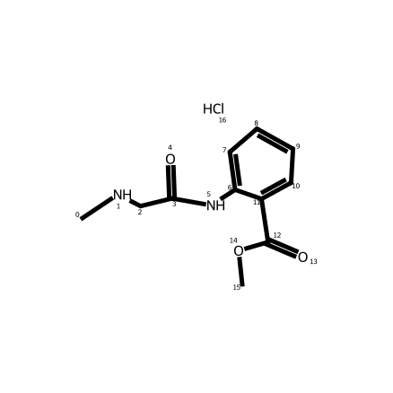 CNCC(=O)Nc1ccccc1C(=O)OC.Cl